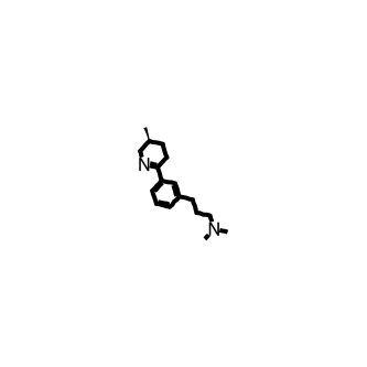 C[C@H]1CCC(c2cccc(CCCN(C)C)c2)=NC1